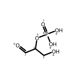 O=[C]C(CO)OP(=O)(O)O